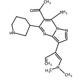 C=C/C(=C\N(C)C)c1cnn2c(N)c(C(C)=O)c(C3CCCNC3)nc12